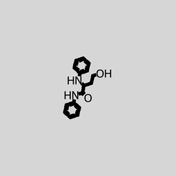 O=C(Nc1ccccc1)C(CCO)Nc1ccccc1